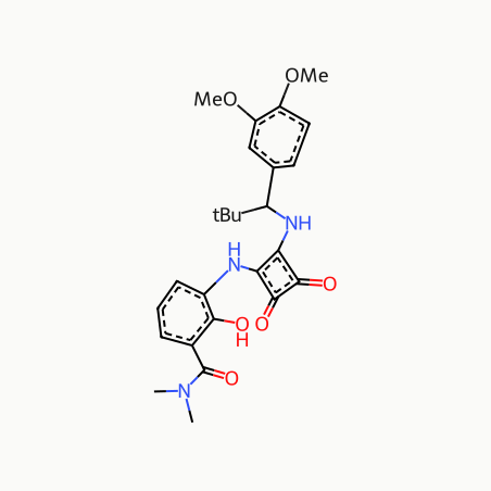 COc1ccc(C(Nc2c(Nc3cccc(C(=O)N(C)C)c3O)c(=O)c2=O)C(C)(C)C)cc1OC